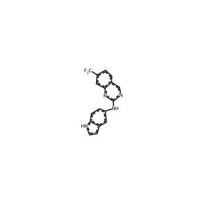 FC(F)(F)c1ccc2cnc(Nc3ccc4[nH]ccc4c3)nc2c1